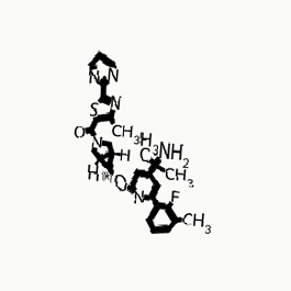 Cc1cccc(-c2cc(C(C)(C)N)cc(O[C@@H]3[C@@H]4CN(C(=O)c5sc(-c6ncccn6)nc5C)C[C@@H]43)n2)c1F